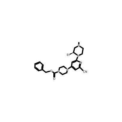 CC[C@H]1CN(C)CCN1c1cc(N2CCN(C(=O)OCc3ccccc3)CC2)cc(C#N)n1